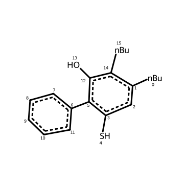 CCCCc1cc(S)c(-c2ccccc2)c(O)c1CCCC